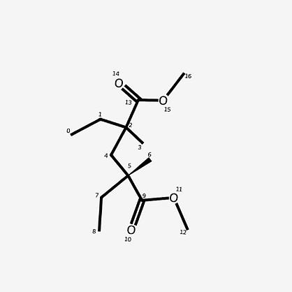 CCC(C)(C[C@@](C)(CC)C(=O)OC)C(=O)OC